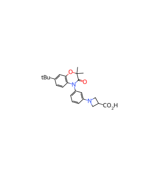 CC1(C)Oc2cc(C(C)(C)C)ccc2N(c2cccc(N3CC(C(=O)O)C3)c2)C1=O